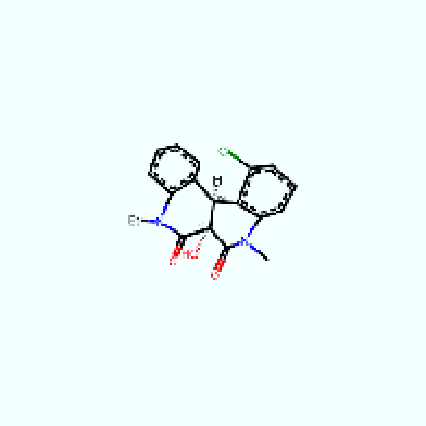 CCN1C(=O)[C@]2(O)C(=O)N(C)c3cccc(Cl)c3[C@@H]2c2ccccc21